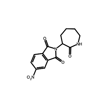 O=C1NCCCCC1N1C(=O)c2ccc([N+](=O)[O-])cc2C1=O